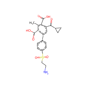 Cc1c(C(=O)O)c(C(=O)C2CC2)cc(-c2ccc(S(=O)(=O)CCN)cc2)c1C(=O)O